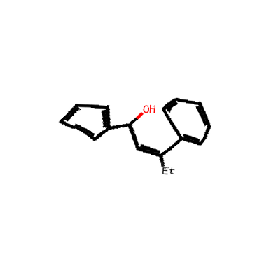 CCC(=CC(O)c1ccccc1)c1ccccc1